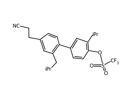 CC(C)Cc1cc(CCC#N)ccc1-c1ccc(OS(=O)(=O)C(F)(F)F)c(C(C)C)c1